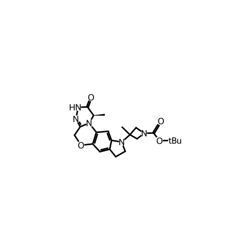 C[C@@H]1C(=O)NN=C2COc3cc4c(cc3N21)N(C1(C)CN(C(=O)OC(C)(C)C)C1)CC4